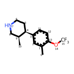 Cc1cc([C@@H]2CCNC[C@@H]2C)ccc1OC(F)(F)F